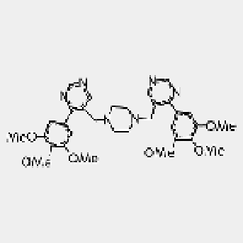 COc1cc(-c2ncncc2CN2CCN(Cc3cncnc3-c3cc(OC)c(OC)c(OC)c3)CC2)cc(OC)c1OC